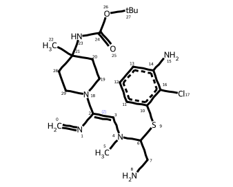 C=N/C(=C\N(C)C(CN)Sc1cccc(N)c1Cl)N1CCC(C)(NC(=O)OC(C)(C)C)CC1